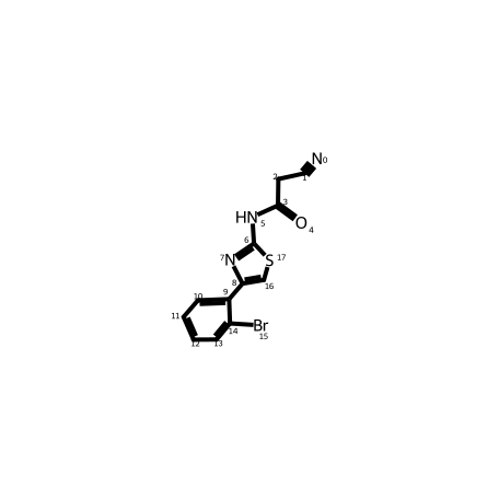 N#CCC(=O)Nc1nc(-c2ccccc2Br)cs1